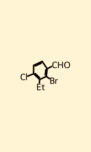 CCc1c(Cl)ccc(C=O)c1Br